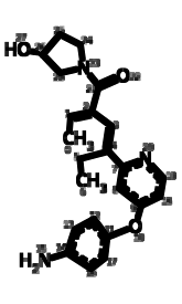 C/C=C(\C=C(/CC)c1cc(Oc2ccc(N)cc2)ccn1)C(=O)N1CC[C@H](O)C1